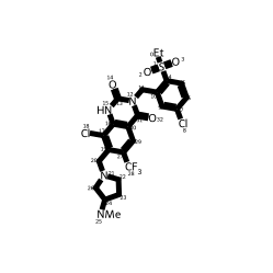 CCS(=O)(=O)c1ccc(Cl)cc1Cn1c(=O)[nH]c2c(Cl)c(CN3CCC(NC)C3)c(C(F)(F)F)cc2c1=O